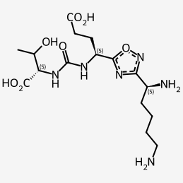 CC(O)[C@H](NC(=O)N[C@@H](CCC(=O)O)c1nc([C@@H](N)CCCCN)no1)C(=O)O